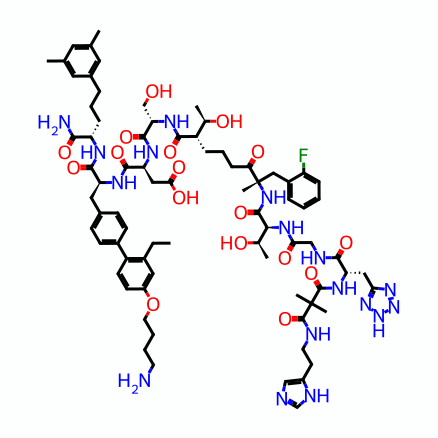 CCc1cc(OCCCCN)ccc1-c1ccc(C[C@H](NC(=O)[C@H](CC(=O)O)NC(=O)[C@H](CO)NC(=O)[C@@H](CCCC(=O)[C@](C)(Cc2ccccc2F)NC(=O)[C@@H](NC(=O)CNC(=O)[C@H](Cc2nn[nH]n2)NC(=O)C(C)(C)C(=O)NCCc2cnc[nH]2)[C@@H](C)O)[C@@H](C)O)C(=O)N[C@@H](CCCc2cc(C)cc(C)c2)C(N)=O)cc1